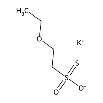 CCOCCS(=O)([O-])=S.[K+]